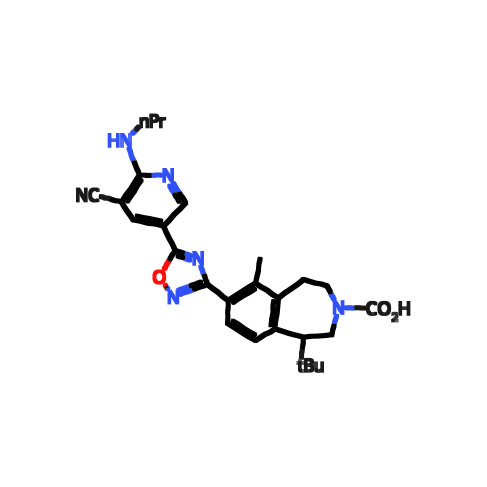 CCCNc1ncc(-c2nc(-c3ccc4c(c3C)CCN(C(=O)O)CC4C(C)(C)C)no2)cc1C#N